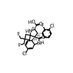 O=C(O)[C@@H]1NC2(CC(CF)(CF)C2)[C@@]2(C(=O)NC3C=C(Cl)C=CC32)[C@H]1c1cccc(Cl)c1F